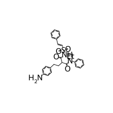 CCN(C(=O)C(CCc1ccc(N)cc1)C(=O)NS(=O)(=O)C=Cc1ccccc1)c1ccccc1